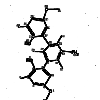 COc1cc(C)c(O)c(-c2c(C)c(P)c(C)c(-c3cc(OC)cc(C)c3O)c2C)c1